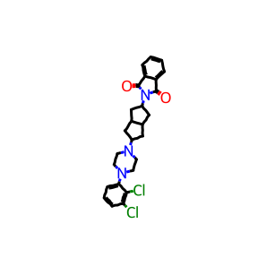 O=C1c2ccccc2C(=O)N1C1CC2CC(N3CCN(c4cccc(Cl)c4Cl)CC3)CC2C1